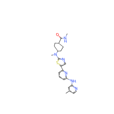 CNC(=O)C1CCC(N(C)c2ncc(-c3cccc(Nc4cc(C)ccn4)n3)s2)CC1